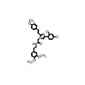 COc1ccc(/C=C/c2nc(-c3ccc(Cl)cc3Cl)cn2CC(=O)NCCc2ccc(OC)c(OC)c2)cc1